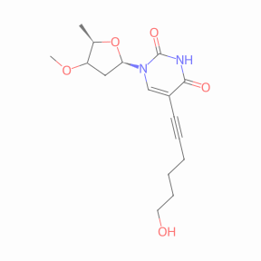 COC1C[C@H](n2cc(C#CCCCCO)c(=O)[nH]c2=O)O[C@@H]1C